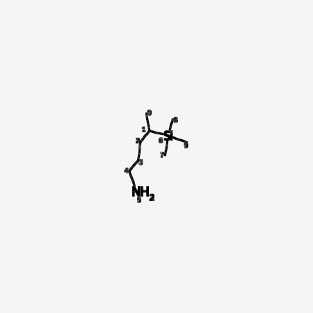 CC(CCCN)[Si](C)(C)C